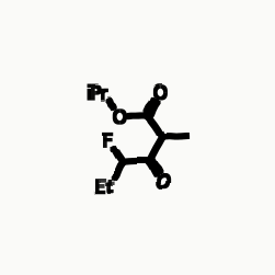 CCC(F)C(=O)C(C)C(=O)OC(C)C